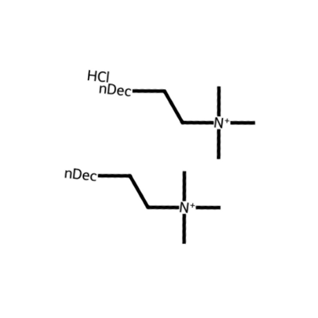 CCCCCCCCCCCC[N+](C)(C)C.CCCCCCCCCCCC[N+](C)(C)C.Cl